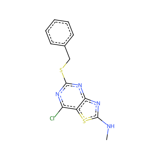 CNc1nc2nc(SCc3ccccc3)nc(Cl)c2s1